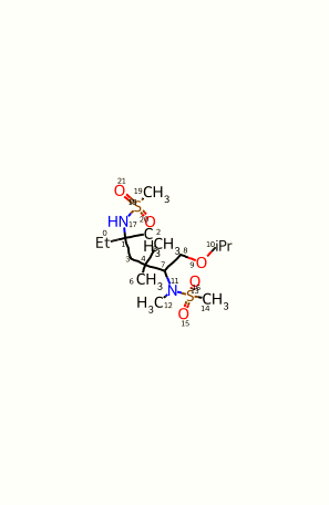 CCC(C)(CC(C)(C)C(COC(C)C)N(C)S(C)(=O)=O)NS(C)(=O)=O